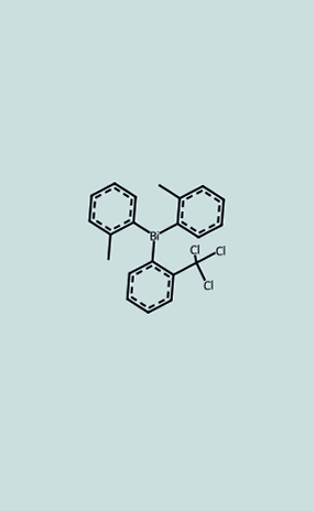 Cc1cccc[c]1[Bi]([c]1ccccc1C)[c]1ccccc1C(Cl)(Cl)Cl